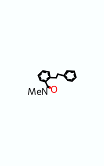 CNC(=O)c1ccccc1CCc1ccccc1